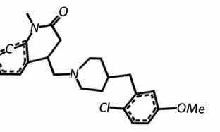 COc1ccc(Cl)c(CC2CCN(CC3CC(=O)N(C)c4ccccc43)CC2)c1